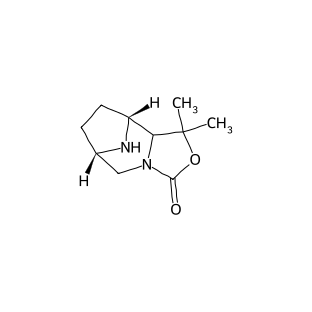 CC1(C)OC(=O)N2C[C@@H]3CC[C@@H](N3)C21